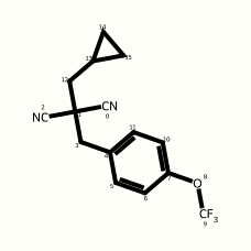 N#CC(C#N)(Cc1ccc(OC(F)(F)F)cc1)CC1CC1